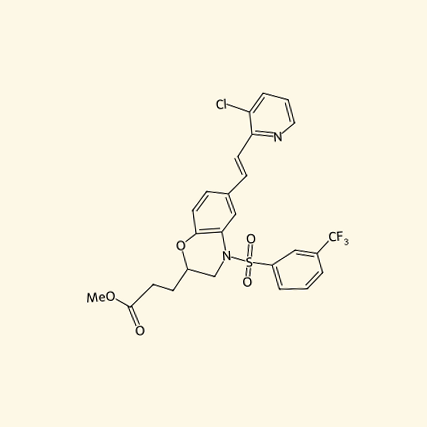 COC(=O)CCC1CN(S(=O)(=O)c2cccc(C(F)(F)F)c2)c2cc(/C=C/c3ncccc3Cl)ccc2O1